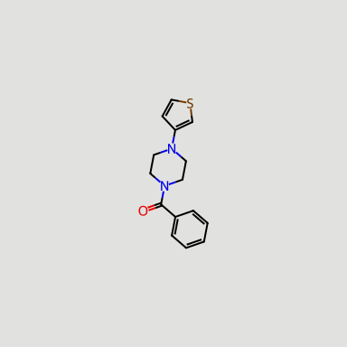 O=C(c1ccccc1)N1CCN(c2ccsc2)CC1